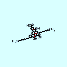 CCCCCCCCCCc1ccc(C(OC(c2ccc(C(=O)O)cc2)c2ccc(CCCCCCCCCC)cc2C(=O)O)c2ccc(C(=O)O)cc2)c(C(=O)O)c1